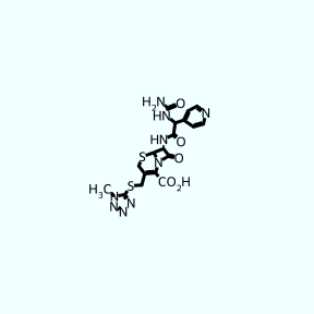 Cn1nnnc1SCC1=C(C(=O)O)N2C(=O)[C@@H](NC(=O)C(NC(N)=O)c3ccncc3)C2SC1